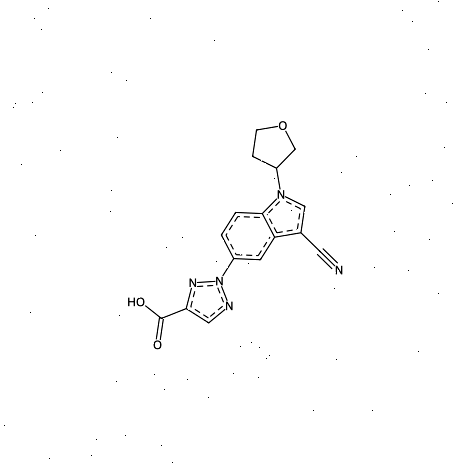 N#Cc1cn(C2CCOC2)c2ccc(-n3ncc(C(=O)O)n3)cc12